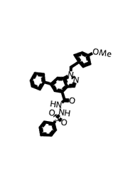 COc1ccc(Cn2ncc3c(C(=O)NNS(=O)(=O)c4ccccc4)cc(-c4ccccc4)cc32)cc1